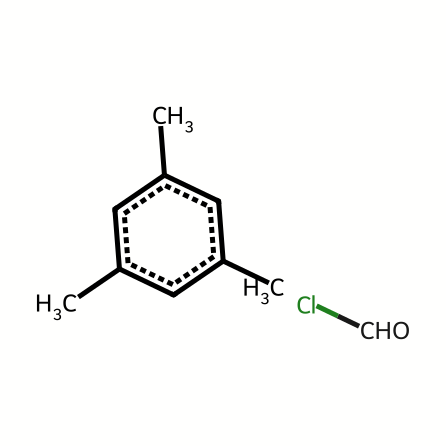 Cc1cc(C)cc(C)c1.O=CCl